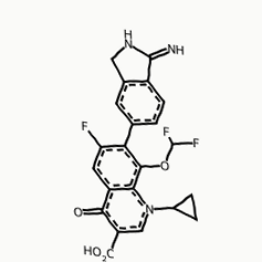 N=C1NCc2cc(-c3c(F)cc4c(=O)c(C(=O)O)cn(C5CC5)c4c3OC(F)F)ccc21